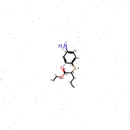 CCCC(Sc1ccc(N)cc1)C(=O)OCC